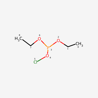 CCOP(OCl)OCC